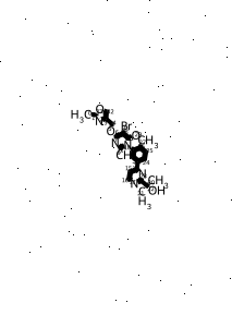 Cc1nc(COc2nc(C)n(-c3cc(-c4ccnc(C(C)(C)O)n4)ccc3C)c(=O)c2Br)co1